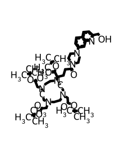 CC(C)(C)OC(=O)CN1CCN(CC(=O)OC(C)(C)C)CCN(C(CCC(=O)N2CCN(c3ccc4ccc(CO)nc4c3)CC2)C(=O)OC(C)(C)C)CCN(CC(=O)OC(C)(C)C)CC1